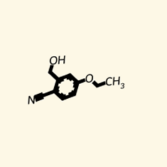 CCOc1ccc(C#N)c(CO)c1